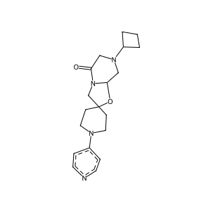 O=C1CN(C2CCC2)CC2OC3(CCN(c4ccncc4)CC3)CN12